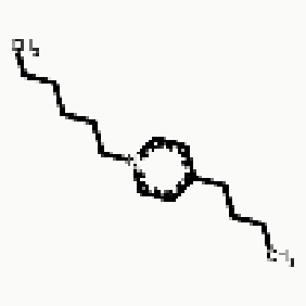 CCCCCC[n+]1ccc(CCCC)cc1